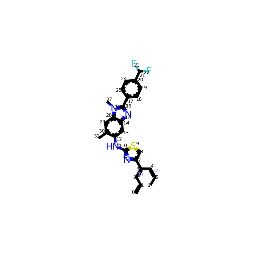 C=C/C=C(\C=C/C)c1csc(Nc2cc3nc(-c4ccc(C(F)F)cc4)n(C)c3cc2C)n1